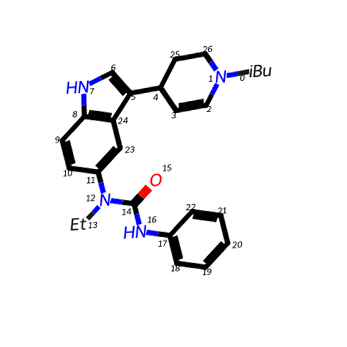 CCC(C)N1C=CC(c2c[nH]c3ccc(N(CC)C(=O)Nc4ccccc4)cc23)CC1